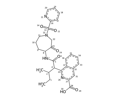 [CH2]CC(C)C(C(=O)NC1CCCN(S(=O)(=O)c2ccccn2)CC1=O)c1nc(C(=O)O)cc2ccccc12